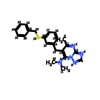 Cc1nc2ncnn2c(N(C)C)c1Cc1cccc(SCc2ccccc2)c1